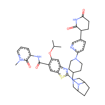 CC(C)Oc1cc2nc(N3CC4CCC(C3)N4CC3CCN(c4ccc(C5CCC(=O)NC5=O)cn4)CC3)sc2cc1C(=O)Nc1cccn(C)c1=O